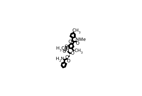 CNC(=O)c1c(-c2ccc(C)cc2)oc2cc3c(cc12)[C@H](C)O[C@H](COC(=O)[C@@H](N)c1ccccc1)CN3S(C)(=O)=O